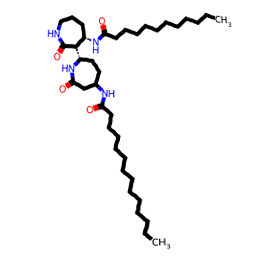 CCCCCCCCCCCCCC(=O)NC1CC[C@@H](C2C(=O)NCCC[C@@H]2NC(=O)CCCCCCCCCCC)NC(=O)C1